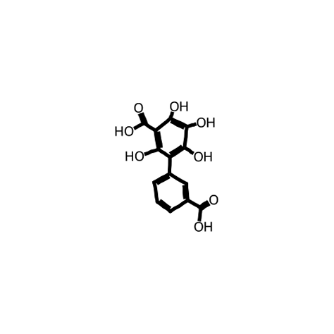 O=C(O)c1cccc(-c2c(O)c(O)c(O)c(C(=O)O)c2O)c1